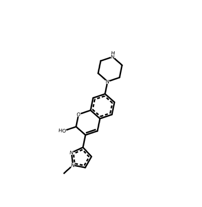 Cn1ccc(C2=Cc3ccc(N4CCNCC4)cc3OC2O)n1